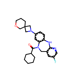 O=C(C1CCCCC1)N1Cc2cc(F)cnc2Nc2ccc(N3CC4(CCCOC4)C3)cc21